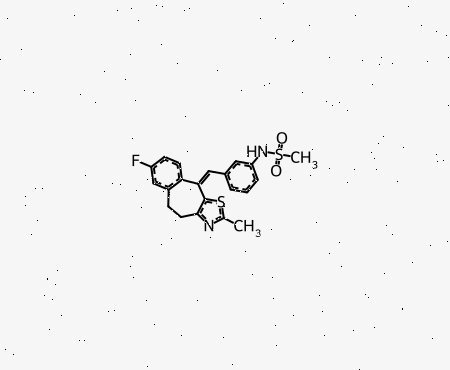 Cc1nc2c(s1)/C(=C\c1cccc(NS(C)(=O)=O)c1)c1ccc(F)cc1CC2